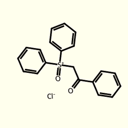 O=C(C[S+](=O)(c1ccccc1)c1ccccc1)c1ccccc1.[Cl-]